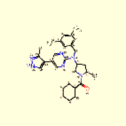 CC[C@@H]1CC(N(Cc2cc(C(F)(F)F)cc(C(F)(F)F)c2)c2ncc(-c3c[nH]nc3C)cn2)CN1C(=O)C1CCCCC1